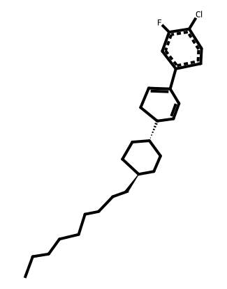 CCCCCCCCC[C@H]1CC[C@H](C2C=CC(c3ccc(Cl)c(F)c3)=CC2)CC1